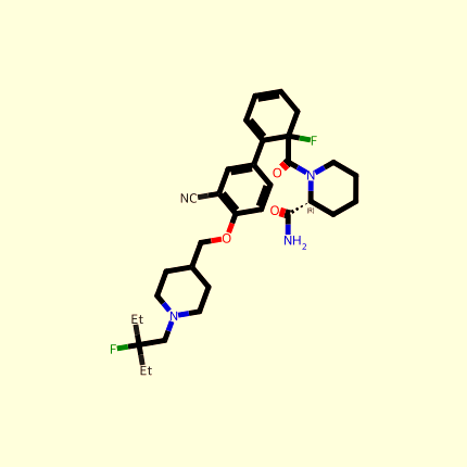 CCC(F)(CC)CN1CCC(COc2ccc(C3=CC=CCC3(F)C(=O)N3CCCC[C@@H]3C(N)=O)cc2C#N)CC1